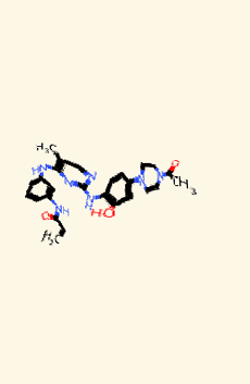 C=CC(=O)Nc1cccc(Nc2nc(Nc3ccc(N4CCN(C(C)=O)CC4)cc3O)ncc2C)c1